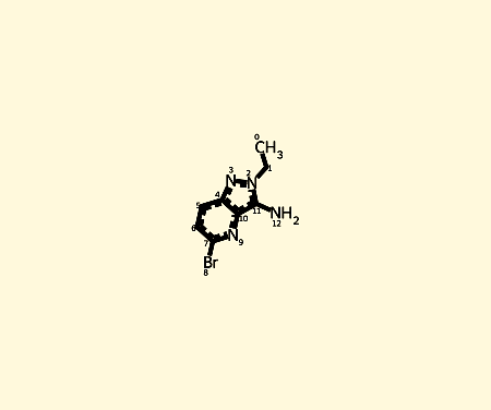 CCn1nc2ccc(Br)nc2c1N